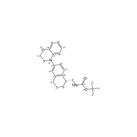 CC(C)(C)OC(=O)NC[C@@H]1CCCc2cc(N3CCOc4ccccc43)ccc21